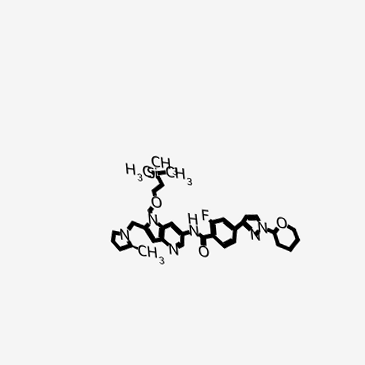 C[C@H]1CCCN1Cc1cc2ncc(NC(=O)c3ccc(-c4ccn(C5CCCCO5)n4)cc3F)cc2n1COCC[Si](C)(C)C